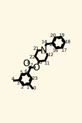 Cc1cc(C)cc(C(=O)OC2CCN(Cc3ccccc3)CC2)c1